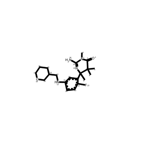 CN1C(=O)C(C)(C)C(C)(c2cc(NCC3CCCOC3)ccc2F)N=C1N